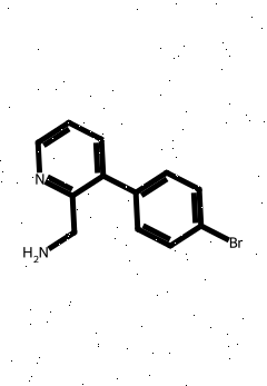 NCc1ncccc1-c1ccc(Br)cc1